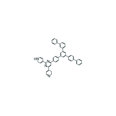 C1=CC(c2nc(C3=CC=NCC3)cc(-c3ccc(-c4cc(-c5ccc(-c6ccccc6)cc5)cc(-c5cccc(-c6ccccc6)c5)c4)cc3)n2)=CCN1